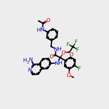 COc1cc(C(Nc2ccc3c(N)nccc3c2)(OC(=O)C(F)(F)F)C(=O)NCc2cccc(NC(C)=O)c2)ccc1F